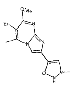 CCc1c(OC)nc2nc(C3=CN(C)NO3)cn2c1C